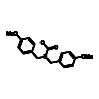 COc1ccc(CN(Cc2ccc(OC)cc2)C([O])=O)cc1